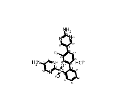 Cl.Nc1cnc(S(=O)(=O)c2ccccc2-c2ccc(-c3cnc(N)nc3)c(F)c2)nc1